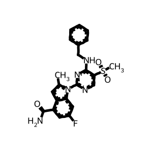 Cc1cc2c(C(N)=O)cc(F)cc2n1-c1ncc(S(C)(=O)=O)c(NCc2ccccc2)n1